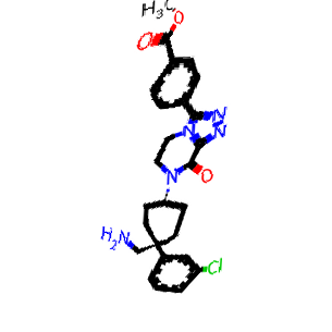 COC(=O)c1ccc(-c2nnc3n2CCN([C@H]2CC[C@@](CN)(c4cccc(Cl)c4)CC2)C3=O)cc1